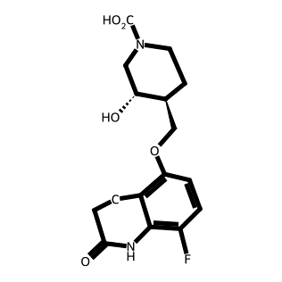 O=C1CCc2c(OC[C@@H]3CCN(C(=O)O)C[C@H]3O)ccc(F)c2N1